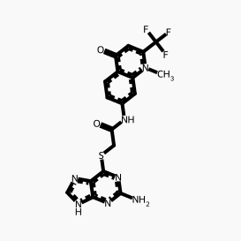 Cn1c(C(F)(F)F)cc(=O)c2ccc(NC(=O)CSc3nc(N)nc4[nH]cnc34)cc21